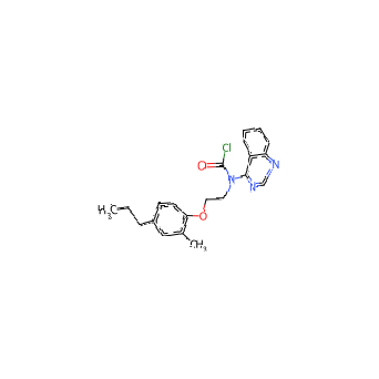 CCCc1ccc(OCCN(C(=O)Cl)c2ncnc3ccccc23)c(C)c1